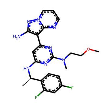 COCCN(C)c1nc(N[C@@H](C)c2ccc(F)cc2F)cc(-c2c(N)nn3cccnc23)n1